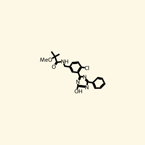 COC(C)(C)C(=O)NCc1ccc(Cl)c(-c2nc(O)nc(-c3ccccc3)n2)c1